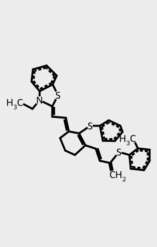 C=C(/C=C/C1=C(Sc2ccccc2)C(=C/C=C2\Sc3ccccc3N2CC)/CCC1)Sc1ccccc1C